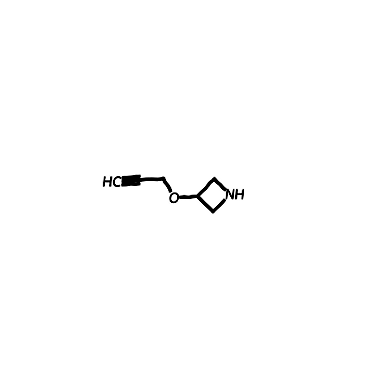 C#CCOC1CNC1